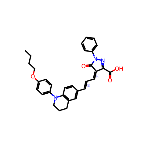 CCCCOc1ccc(N2CCCc3cc(/C=C/C=C4\C(=O)N(c5ccccc5)N=C4C(=O)O)ccc32)cc1